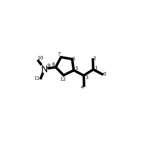 CC(C)C(C)C1CCC(N(C)C)C1